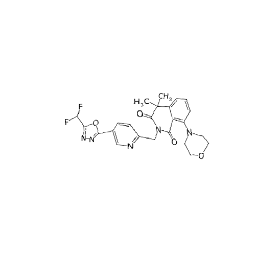 CC1(C)C(=O)N(Cc2ccc(-c3nnc(C(F)F)o3)cn2)C(=O)c2c(N3CCOCC3)cccc21